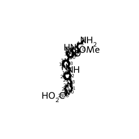 COC(=O)C(CCN)Nc1ncc(-c2ccnc(Nc3cccc(CN4CCN(CC(=O)O)CC4)c3)c2)cn1